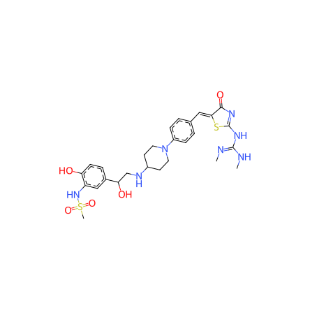 CN=C(NC)NC1=NC(=O)C(=Cc2ccc(N3CCC(NCC(O)c4ccc(O)c(NS(C)(=O)=O)c4)CC3)cc2)S1